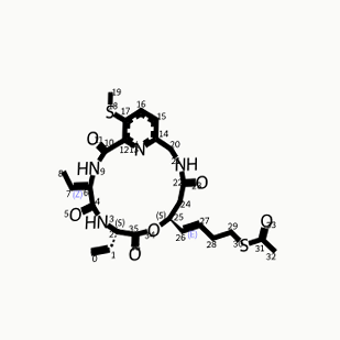 C=C[C@@H]1NC(=O)/C(=C/C)NC(=O)c2nc(ccc2SC)CNC(=O)C[C@@H](/C=C/CCSC(C)=O)OC1=O